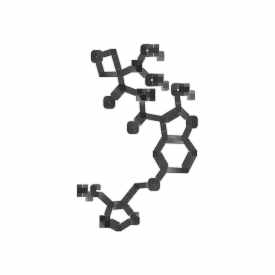 Cc1ncsc1COc1ccc2oc(C)c(C(=O)NC(=O)C3(N(C)C)COC3)c2c1